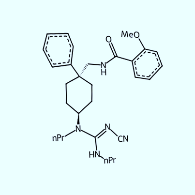 CCCNC(=NC#N)N(CCC)[C@H]1CC[C@@](CNC(=O)c2ccccc2OC)(c2ccccc2)CC1